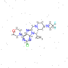 CCn1c(CN2CCC(N3CC(F)(F)C3)CC2)nc2c(N3CCOCC3)nc(Cl)nc21